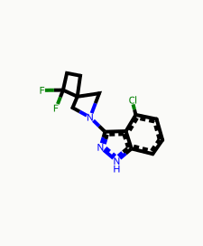 FC1(F)CCC12CN(c1n[nH]c3cccc(Cl)c13)C2